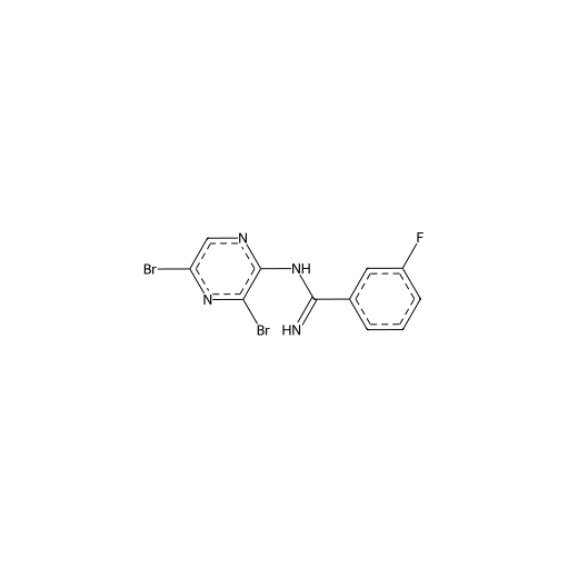 N=C(Nc1ncc(Br)nc1Br)c1cccc(F)c1